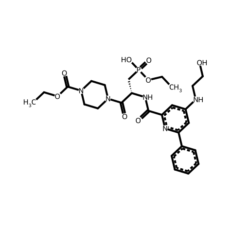 CCOC(=O)N1CCN(C(=O)[C@H](CP(=O)(O)OCC)NC(=O)c2cc(NCCO)cc(-c3ccccc3)n2)CC1